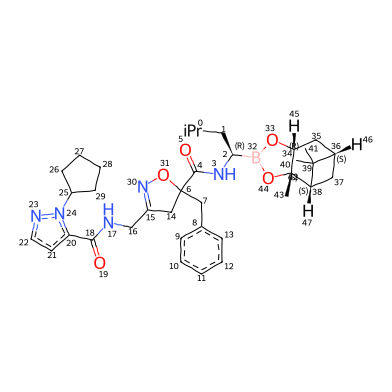 CC(C)C[C@H](NC(=O)C1(Cc2ccccc2)CC(CNC(=O)c2ccnn2C2CCCC2)=NO1)B1O[C@@H]2C[C@@H]3C[C@@H](C3(C)C)[C@]2(C)O1